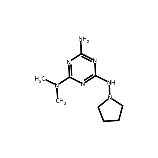 CN(C)c1nc(N)nc(NN2CCCC2)n1